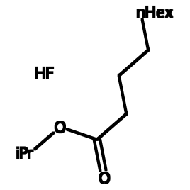 CCCCCCCCCC(=O)OC(C)C.F